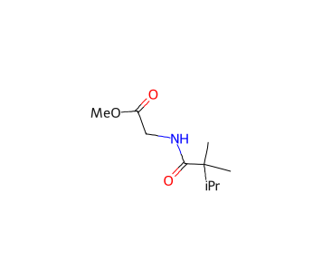 COC(=O)CNC(=O)C(C)(C)C(C)C